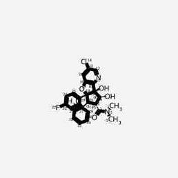 CN(C)C(=O)[C@H]1[C@@H](O)[C@@]2(O)c3ncc(Cl)cc3O[C@@]2(c2ccc(F)cc2)[C@@H]1C1(C)C=CC=CC1